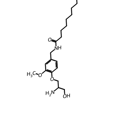 CCCCCCCCC(=O)NCc1ccc(OCC(N)CO)c(OC)c1